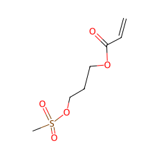 C=CC(=O)OCCCOS(C)(=O)=O